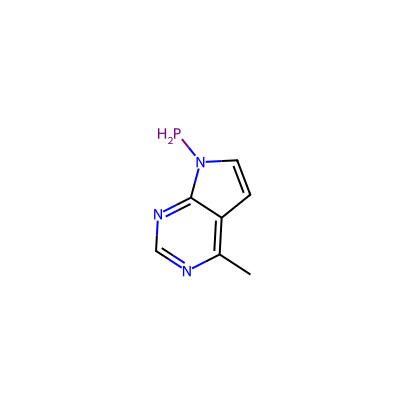 Cc1ncnc2c1ccn2P